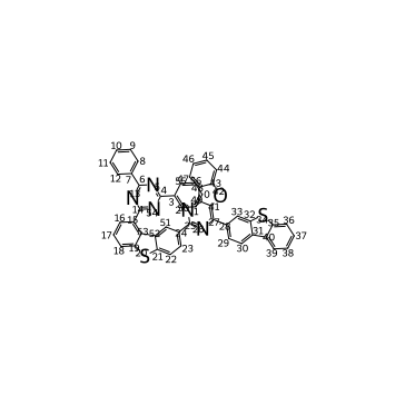 c1ccc(-c2nc(-c3ccccc3)nc(-c3cccc4sc5ccc(-c6nc(-c7ccc8c(c7)sc7ccccc78)c7oc8ccccc8c7n6)cc5c34)n2)cc1